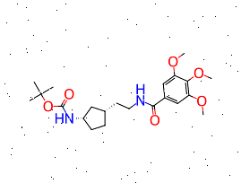 COc1cc(C(=O)NCC[C@@H]2CC[C@H](NC(=O)OC(C)(C)C)C2)cc(OC)c1OC